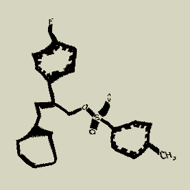 Cc1ccc(S(=O)(=O)OC/C(=C\C2CC=CCC2)c2ccc(F)cc2)cc1